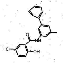 Cc1cc(NC(=O)c2cc(Cl)ccc2O)cc(-c2ccccc2)c1